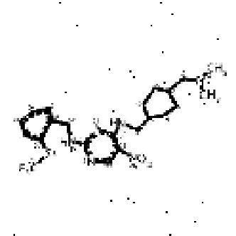 CN(C)CC1CCC(CNc2nc(NCc3ccccc3SC(F)(F)F)ncc2[N+](=O)[O-])CC1